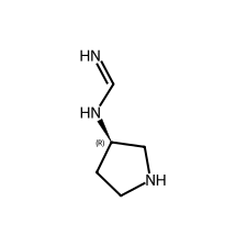 N=CN[C@@H]1CCNC1